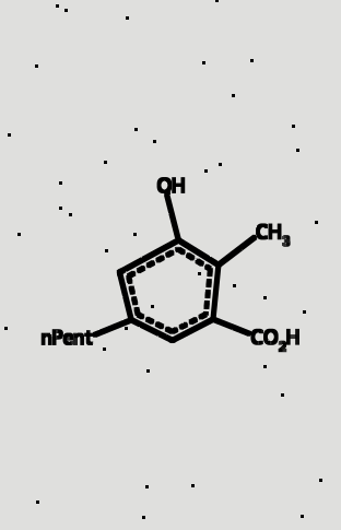 CCCCCc1cc(O)c(C)c(C(=O)O)c1